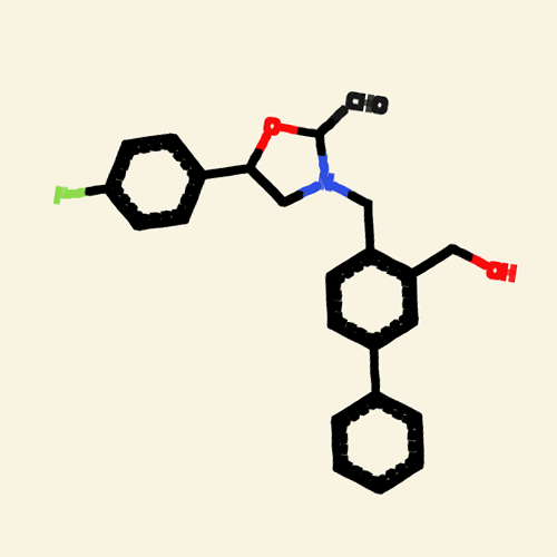 O=CC1OC(c2ccc(F)cc2)CN1Cc1ccc(-c2ccccc2)cc1CO